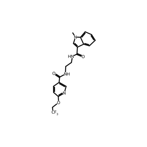 Cn1cc(C(=O)NCCNC(=O)c2ccc(OCC(F)(F)F)nc2)c2ccccc21